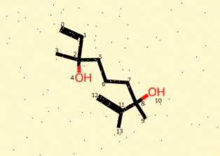 C=CC(C)(O)CCCC(C)(O)C(=C)C